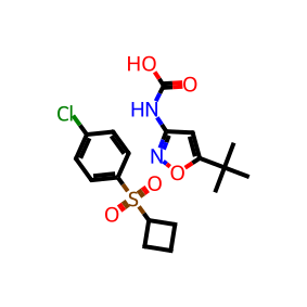 CC(C)(C)c1cc(NC(=O)O)no1.O=S(=O)(c1ccc(Cl)cc1)C1CCC1